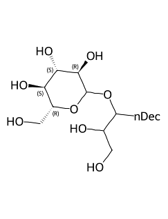 CCCCCCCCCCC(OC1O[C@H](CO)[C@@H](O)[C@H](O)[C@H]1O)C(O)CO